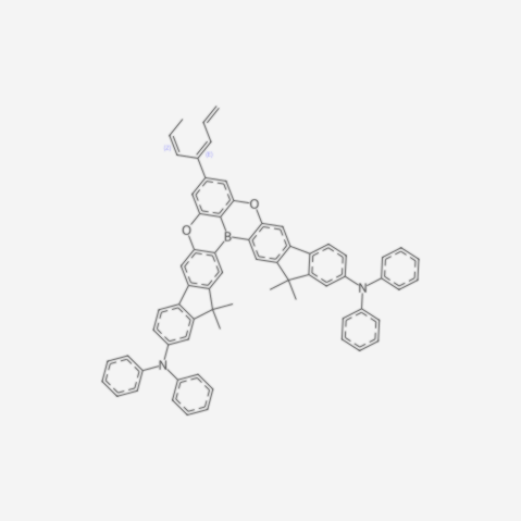 C=C/C=C(\C=C/C)c1cc2c3c(c1)Oc1cc4c(cc1B3c1cc3c(cc1O2)-c1ccc(N(c2ccccc2)c2ccccc2)cc1C3(C)C)C(C)(C)c1cc(N(c2ccccc2)c2ccccc2)ccc1-4